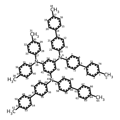 Cc1ccc(-c2ccc(N(c3ccc(-c4ccc(C)cc4)cc3)c3cc(N(c4ccc(C)cc4)c4ccc(C)cc4)cc(N(c4ccc(-c5ccc(C)cc5)cc4)c4ccc(-c5ccc(C)cc5)cc4)c3)cc2)cc1